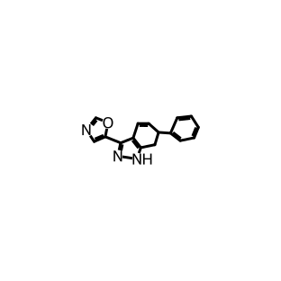 C1=CC(c2ccccc2)Cc2[nH]nc(-c3cnco3)c21